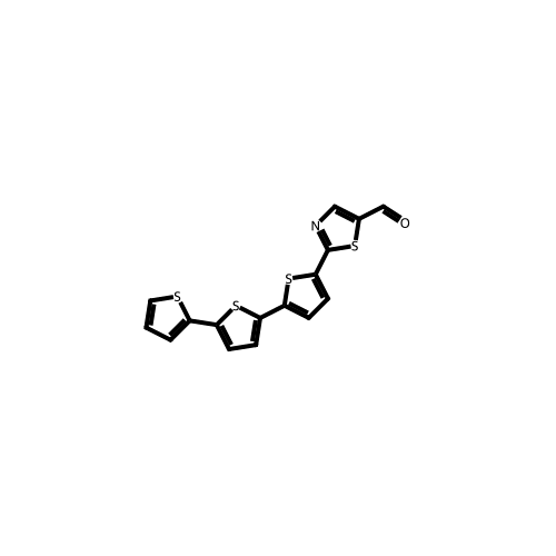 O=Cc1cnc(-c2ccc(-c3ccc(-c4cccs4)s3)s2)s1